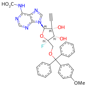 C#C[C@]1(O)[C@H](n2cnc3c(NC(=O)O)ncnc32)O[C@](F)(COC(c2ccccc2)(c2ccccc2)c2ccc(OC)cc2)[C@H]1O